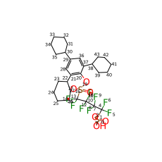 O=S(=O)(O)C(F)(F)C(F)(F)C(F)(F)C(F)(F)S(=O)(=O)Oc1c(C2CCCCC2)cc(C2CCCCC2)cc1C1CCCCC1